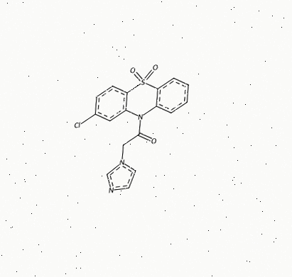 O=C(Cn1ccnc1)N1c2ccccc2S(=O)(=O)c2ccc(Cl)cc21